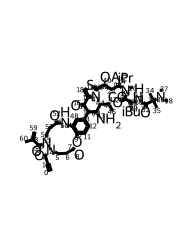 C#CC(=O)N1CCC(=O)Oc2ccc(C(C(=O)c3csc([C@@H](C[C@H](C(C)C)N(C)C(=O)[C@@H](NC(=O)C(C)(C)N(C)C)[C@@H](C)CC)OC(C)=O)n3)[C@H](N)CC(C)C(=O)O)cc2NC(=O)CCN1C(=O)C(=C)C